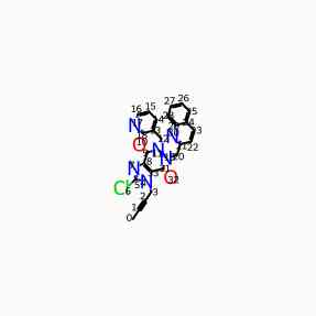 CC#CCn1c(Cl)nc2c(=O)n(Cc3cccnc3)n(Cc3ccc4ccccc4n3)c(=O)c21